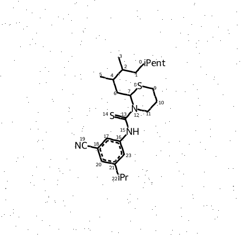 CCCC(C)CC(C)C(C)CC1SCCCN1C(=S)Nc1cc(C#N)cc(C(C)C)c1